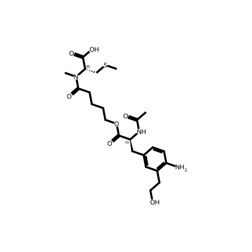 CSC[C@@H](C(=O)O)N(C)C(=O)CCCCOC(=O)[C@H](Cc1ccc(N)c(CCO)c1)NC(C)=O